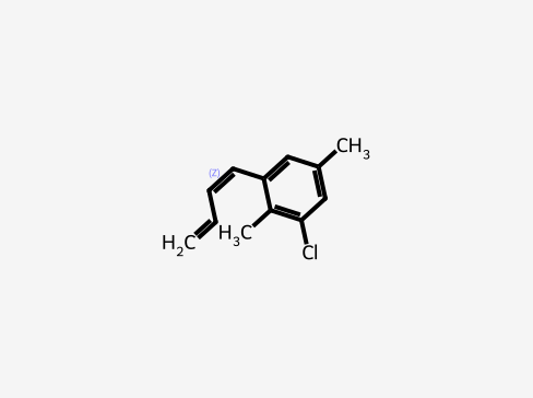 C=C/C=C\c1cc(C)cc(Cl)c1C